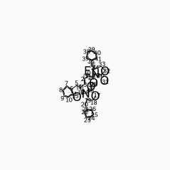 CC[C@@H](C=C[C@H](Cc1ccccc1)C(=O)N1C(=O)OCC1Cc1ccccc1)C(=O)N1C(=O)OCC1Cc1ccccc1